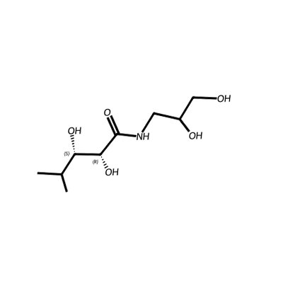 CC(C)[C@H](O)[C@@H](O)C(=O)NCC(O)CO